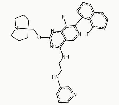 Fc1c(-c2cccc3cccc(F)c23)ncc2c(NCCNc3cccnc3)nc(OCC34CCCN3CCC4)nc12